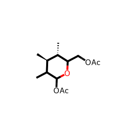 CC(=O)OCC1OC(OC(C)=O)C(C)[C@@H](C)[C@@H]1C